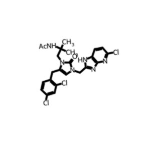 CC(=O)NC(C)(C)Cn1c(Cc2ccc(Cl)cc2Cl)cn(Cc2nc3nc(Cl)ccc3[nH]2)c1=O